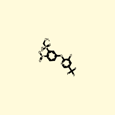 CCP(O)(=S)c1cc(Oc2ncc(C(F)(F)F)cc2Cl)ccc1[N+](=O)[O-]